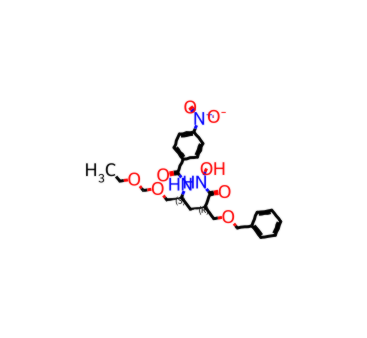 CCOCOC[C@H](C[C@H](COCc1ccccc1)C(=O)NO)NC(=O)c1ccc([N+](=O)[O-])cc1